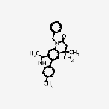 Cc1ccc(-c2cc3c(cc2C(C)N)N(Cc2ccccc2)C(=O)CC3(C)C)cc1